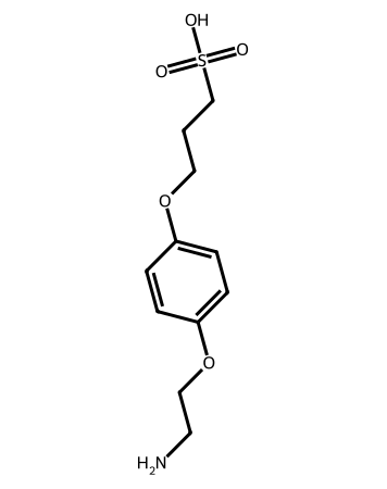 NCCOc1ccc(OCCCS(=O)(=O)O)cc1